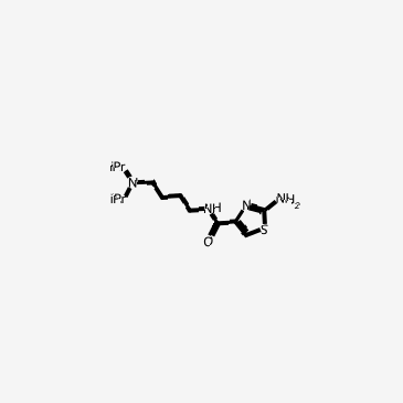 CC(C)N(CCCCNC(=O)c1csc(N)n1)C(C)C